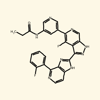 CCC(=O)Nc1cncc(-c2ncc3[nH]nc(-c4nc5c(-c6ccccc6F)nccc5[nH]4)c3c2F)c1